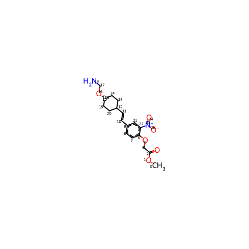 COC(=O)COc1ccc(C=CC2CCB(OCN)CC2)cc1[N+](=O)[O-]